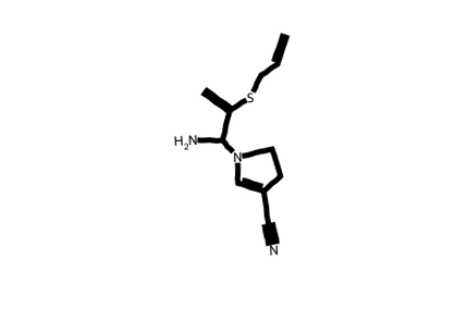 C=CCSC(=C)C(N)N1C=C(C#N)CC1